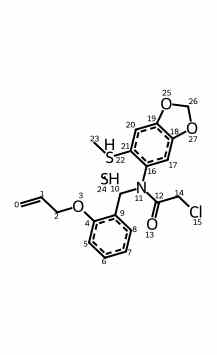 C=CCOc1ccccc1CN(C(=O)CCl)c1cc2c(cc1[SH](C)S)OCO2